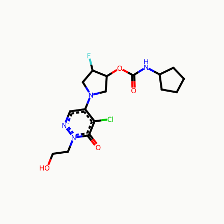 O=C(NC1CCCC1)OC1CN(c2cnn(CCO)c(=O)c2Cl)CC1F